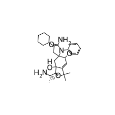 COC1C=C(C(C)(C)C)C(O)(C(=O)[C@H](C)N)CC1(CCC1CCCCC1)N(C(N)=O)c1ccccc1